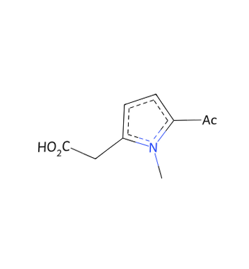 CC(=O)c1ccc(CC(=O)O)n1C